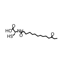 CCC(=O)CCCCCCCCCCC(=O)N[C@@H](CS)C(=O)O